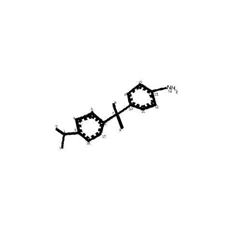 CC(C)c1ccc(C(C)(C)c2ccc(N)cc2)cc1